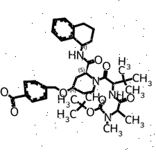 CC(C(=O)NC(C(=O)N1CC[C@@H](OCc2ccc(C(=O)O)cc2)C[C@H]1C(=O)N[C@@H]1CCCc2ccccc21)C(C)(C)C)N(C)C(=O)OC(C)(C)C